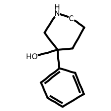 OC1(c2ccccc2)CCCNC1